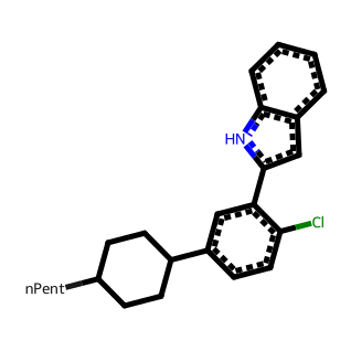 CCCCCC1CCC(c2ccc(Cl)c(-c3cc4ccccc4[nH]3)c2)CC1